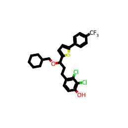 Oc1ccc(CCC(OCC2CCCCC2)c2ccc(-c3ccc(C(F)(F)F)cc3)s2)c(Cl)c1Cl